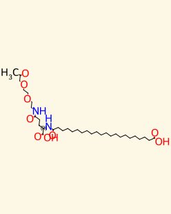 CC(=O)COCCOCCNC(=O)CC[C@@H](NC(=O)CCCCCCCCCCCCCCCCCCCCC(=O)O)C(=O)O